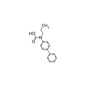 CCCN(C(=O)O)c1ccc(-c2ccccc2)cc1